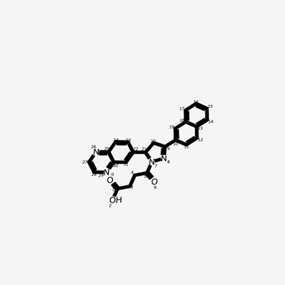 O=C(O)CCC(=O)N1N=C(c2ccc3ccccc3c2)CC1c1ccc2nccnc2c1